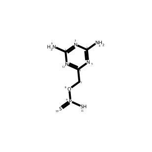 Nc1nc(N)nc(CO[P](=S)S)n1